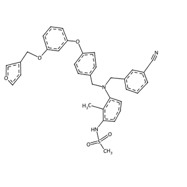 Cc1c(NS(C)(=O)=O)cccc1N(Cc1ccc(Oc2cccc(OCc3ccoc3)c2)cc1)Cc1cccc(C#N)c1